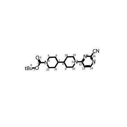 CC(C)(C)OC(=O)N1CCC(C2CCN(c3ccnc(C#N)n3)CC2)CC1